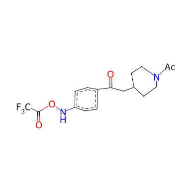 CC(=O)N1CCC(CC(=O)c2ccc(NOC(=O)C(F)(F)F)cc2)CC1